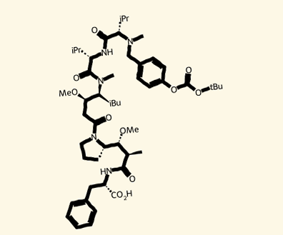 CC[C@H](C)[C@@H]([C@@H](CC(=O)N1CCC[C@H]1[C@H](OC)[C@@H](C)C(=O)N[C@@H](Cc1ccccc1)C(=O)O)OC)N(C)C(=O)[C@@H](NC(=O)[C@H](C(C)C)N(C)Cc1ccc(OC(=O)OC(C)(C)C)cc1)C(C)C